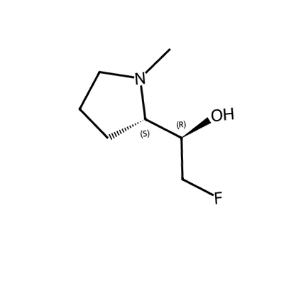 CN1CCC[C@H]1[C@@H](O)CF